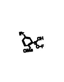 COc1ccc(C(C)C)cc1B(O)OF